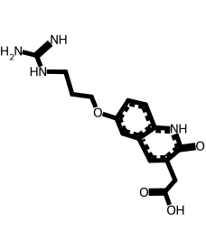 N=C(N)NCCCOc1ccc2[nH]c(=O)c(CC(=O)O)cc2c1